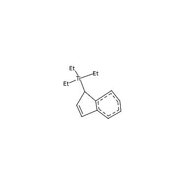 C[CH2][Ti]([CH2]C)([CH2]C)[CH]1C=Cc2ccccc21